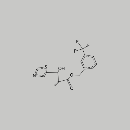 C=C(C(=O)OCc1cccc(C(F)(F)F)c1)C(O)c1cncs1